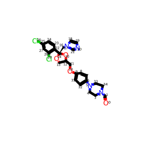 O=CN1CCN(c2ccc(OCC3CO[C@](Cn4ccnc4)(c4ccc(Cl)cc4Cl)O3)cc2)CC1